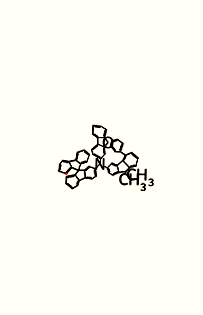 CC1(C)c2ccc(N(c3ccc4c(c3)C3(c5ccccc5-c5ccccc53)c3ccccc3-4)c3ccc4c(c3)oc3ccccc34)cc2-c2c(-c3ccccc3)cccc21